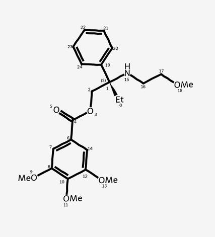 CC[C@](COC(=O)c1cc(OC)c(OC)c(OC)c1)(NCCOC)c1ccccc1